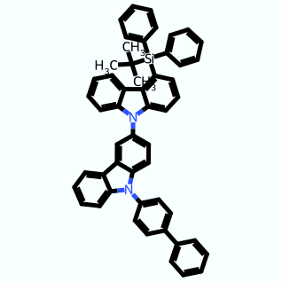 CC(C)(C)[Si](c1ccccc1)(c1ccccc1)c1cccc2c1c1ccccc1n2-c1ccc2c(c1)c1ccccc1n2-c1ccc(-c2ccccc2)cc1